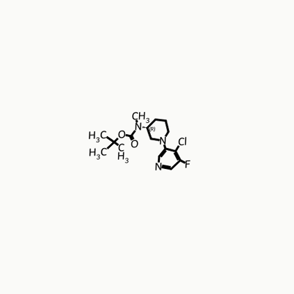 CN(C(=O)OC(C)(C)C)[C@@H]1CCCN(c2cncc(F)c2Cl)C1